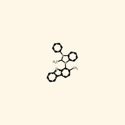 Cc1ccc2c(oc3ccccc32)c1N1c2ccccc2N(c2ccccc2)C1C